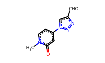 Cn1ccc(-n2cc(C=O)nn2)cc1=O